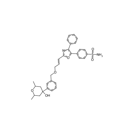 CC1CC(O)(c2cccc(COC/C=C/c3nc(-c4ccccc4)c(-c4ccc(S(N)(=O)=O)cc4)o3)c2)CC(C)O1